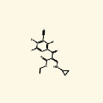 CCOC(=O)/C(=C\NC1CC1)C(=O)c1cc(F)c(F)c(C#N)c1F